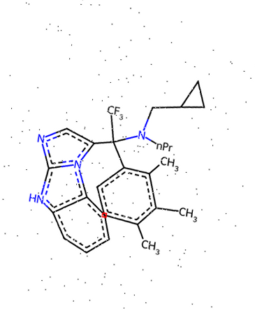 CCCN(CC1CC1)C(c1ccc(C)c(C)c1C)(c1cnc2[nH]c3ccccc3n12)C(F)(F)F